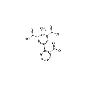 Cc1c(C(=O)O)cc(-c2ccccc2[N+](=O)[O-])cc1C(=O)O